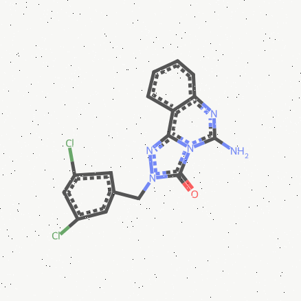 Nc1nc2ccccc2c2nn(Cc3cc(Cl)cc(Cl)c3)c(=O)n12